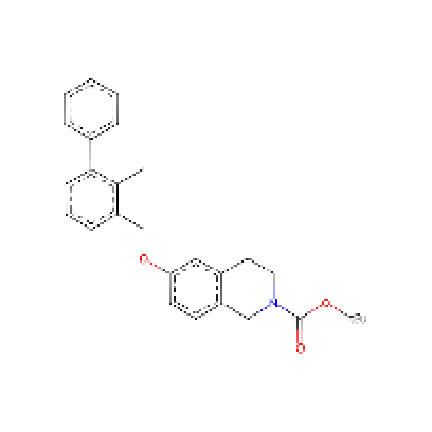 Cc1c(COc2ccc3c(c2)CCN(C(=O)OC(C)(C)C)C3)cccc1-c1ccccc1